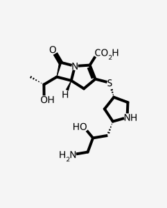 C[C@@H](O)[C@H]1C(=O)N2C(C(=O)O)=C(S[C@@H]3CN[C@H](CC(O)CN)C3)C[C@H]12